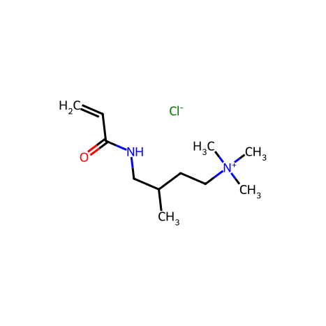 C=CC(=O)NCC(C)CC[N+](C)(C)C.[Cl-]